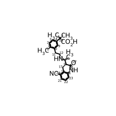 Cc1ccc(C(C)(C)C(=O)O)cc1CCN[C@H](C)[C@@H]1Cc2c(C#N)cccc2NC1=O